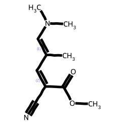 COC(=O)/C(C#N)=C\C(C)=C\N(C)C